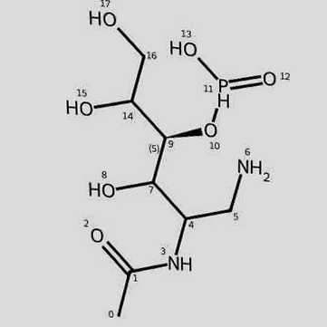 CC(=O)NC(CN)C(O)[C@H](O[PH](=O)O)C(O)CO